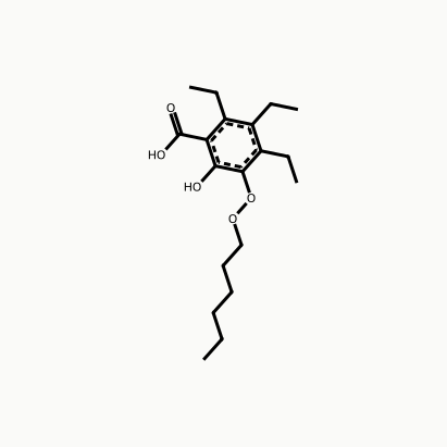 CCCCCCOOc1c(O)c(C(=O)O)c(CC)c(CC)c1CC